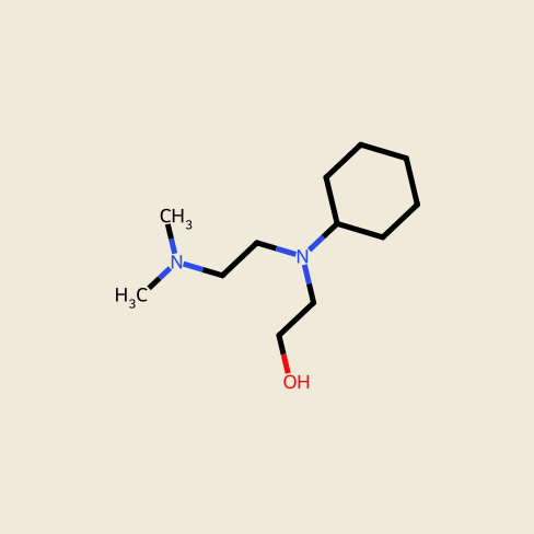 CN(C)CCN(CCO)C1CCCCC1